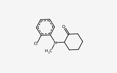 CN(c1ccccc1Cl)C1CCCCC1=O